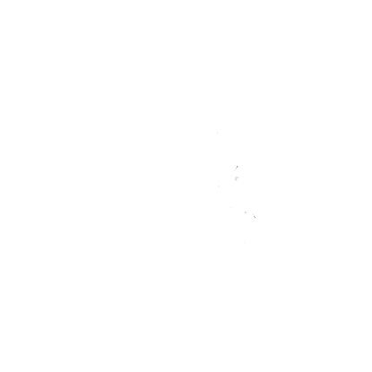 COCc1cc(C)c2c(c1)C[C@@H]1C(C)(C)[C@H](OC)CC[C@@]1(C)O2